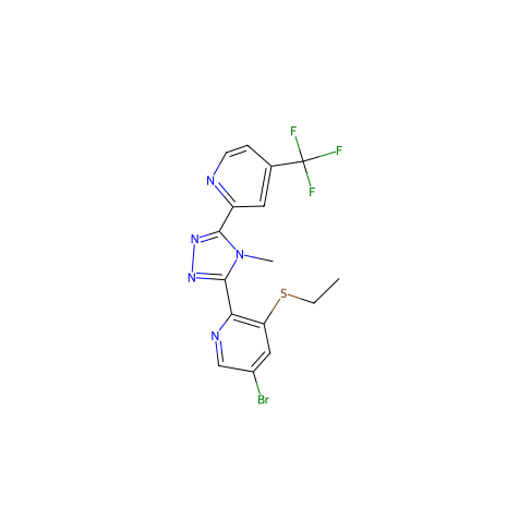 CCSc1cc(Br)cnc1-c1nnc(-c2cc(C(F)(F)F)ccn2)n1C